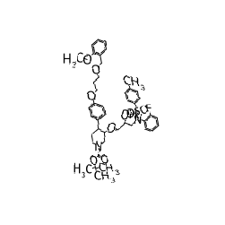 COc1ccccc1COCCCOc1ccc(C2CCN(C(=O)OC(C)(C)C)CC2OC[C@@H](O)CN(c2ccccc2F)S(=O)(=O)c2ccc(C)cc2)cc1